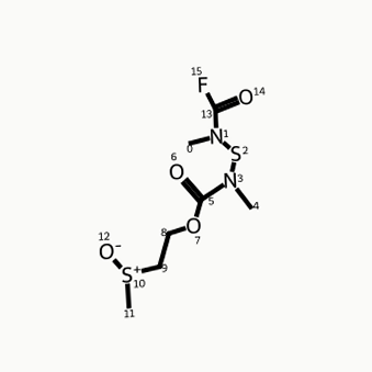 CN(SN(C)C(=O)OCC[S+](C)[O-])C(=O)F